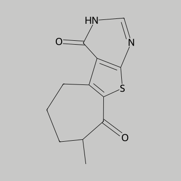 CC1CCCc2c(sc3nc[nH]c(=O)c23)C1=O